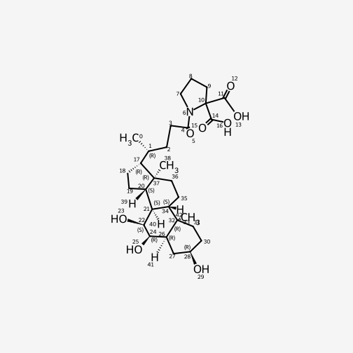 C[C@H](CCC(=O)N1CCCC1(C(=O)O)C(=O)O)[C@H]1CC[C@H]2[C@@H]3[C@H](O)[C@H](O)[C@@H]4C[C@H](O)CC[C@]4(C)[C@H]3CC[C@]12C